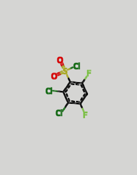 O=S(=O)(Cl)c1c(F)cc(F)c(Cl)c1Cl